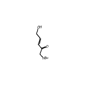 CCCCCC(=O)/C=C/CO